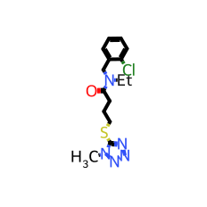 CCN(Cc1ccccc1Cl)C(=O)CCCSc1nnnn1C